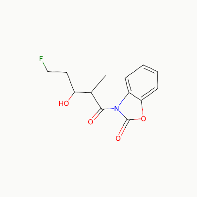 CC(C(=O)n1c(=O)oc2ccccc21)C(O)CCF